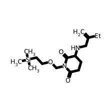 C=C(CC)CNC1CCC(=O)N(COCC[Si](C)(C)C)C1=O